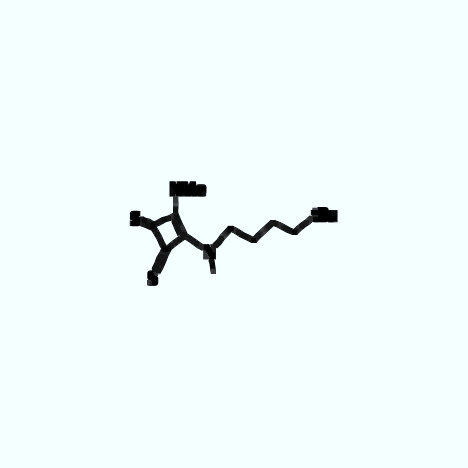 CNc1c(N(C)CCCCC(C)(C)C)c(=S)c1=S